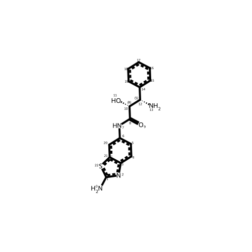 Nc1nc2ccc(NC(=O)[C@H](O)[C@@H](N)c3ccccc3)cc2s1